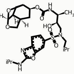 CC(C)CN(C[C@@H](O)[C@H](C)NC(=O)O[C@H]1C[C@H]2CO[C@H]3OC1C[C@@H]23)S(=O)(=O)c1ccc2nc(NC(C)C)oc2c1